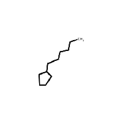 CCCC[CH]CC1CCCC1